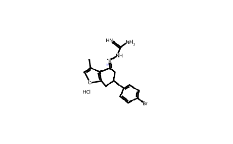 Cc1coc2c1/C(=N/NC(=N)N)CC(c1ccc(Br)cc1)C2.Cl